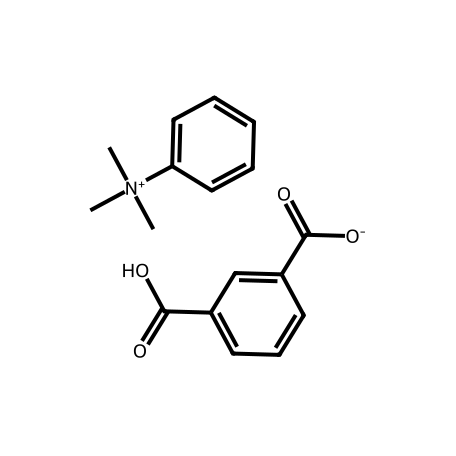 C[N+](C)(C)c1ccccc1.O=C([O-])c1cccc(C(=O)O)c1